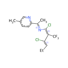 CC/C=C(Cl)/C(=C(Cl)\N=C(/C)c1ccc(C)cn1)C(F)(F)F